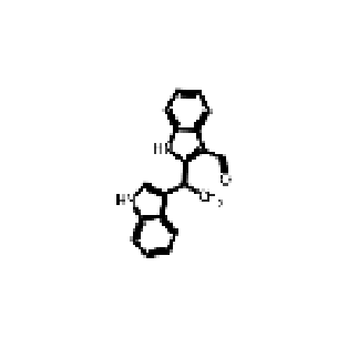 CC(c1[nH]c2ccccc2c1C=O)c1c[nH]c2ccccc12